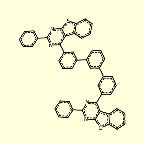 c1ccc(-c2nc(-c3cccc(-c4cccc(-c5cccc(-c6nc(-c7ccccc7)nc7sc8ccccc8c67)c5)c4)c3)c3c(n2)oc2ccccc23)cc1